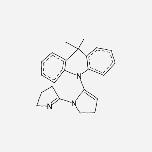 CC1(C)c2ccccc2N(C2=CCCN2C2=NCCC2)c2ccccc21